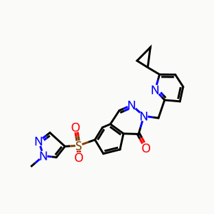 Cn1cc(S(=O)(=O)c2ccc3c(=O)n(Cc4cccc(C5CC5)n4)ncc3c2)cn1